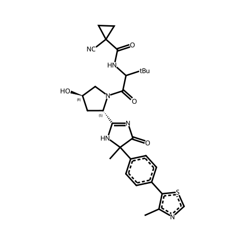 Cc1ncsc1-c1ccc(C2(C)NC([C@@H]3C[C@@H](O)CN3C(=O)C(NC(=O)C3(C#N)CC3)C(C)(C)C)=NC2=O)cc1